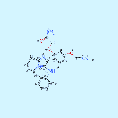 CNCCOc1cc(C)c(-c2nc3ccccn3c2Nc2c(C)cccc2C)c(OCC(N)=O)c1